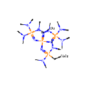 CNCP(=NP(=NC(C)(C)C)(N=P(N(C)C)(N(C)C)N(C)C)N=P(N(C)C)(N(C)C)N(C)C)(N(C)C)N(C)C